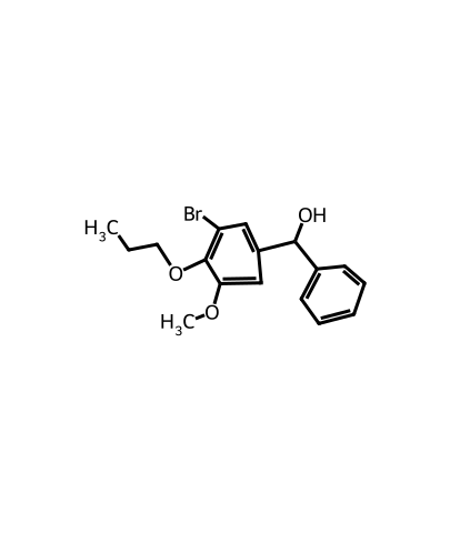 CCCOc1c(Br)cc(C(O)c2ccccc2)cc1OC